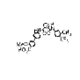 COc1cc(-c2ccc(NC(=O)[C@H]3CCCN3C(=O)Nc3ccc(C(F)(F)F)c(C)c3)cc2)ccc1C(=O)O